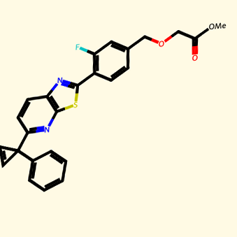 COC(=O)COCc1ccc(-c2nc3ccc(C4(c5ccccc5)C=C4)nc3s2)c(F)c1